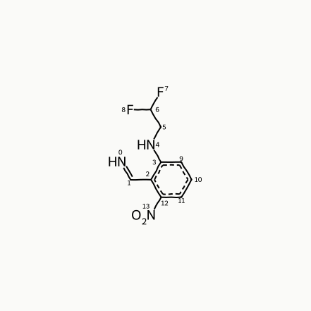 N=Cc1c(NCC(F)F)cccc1[N+](=O)[O-]